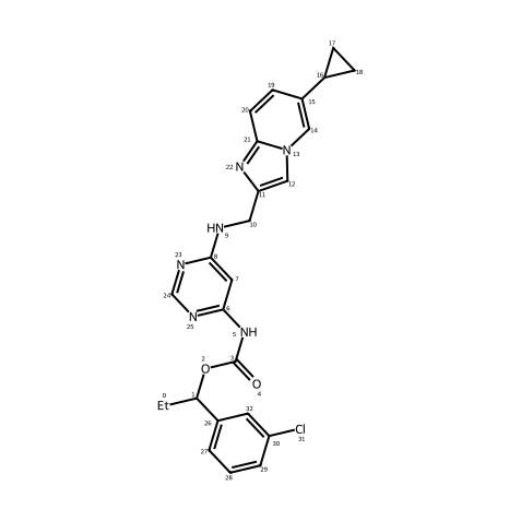 CCC(OC(=O)Nc1cc(NCc2cn3cc(C4CC4)ccc3n2)ncn1)c1cccc(Cl)c1